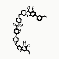 CCc1cccc(-c2cc(F)c(C(=O)N3CCC(CN4CCC(NC(=O)c5ccc(N6CCN(Cc7cnc8cc(CC)c(=O)[nH]c8c7)CC6)cn5)CC4)CC3)c(F)c2)c1